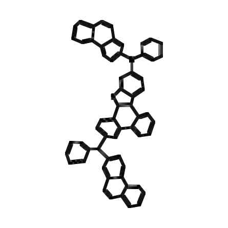 c1ccc(C(c2ccc3c(ccc4ccccc43)c2)c2ccc3c(c2)c2ccccc2c2c4ccc(N(c5ccccc5)c5ccc6c(ccc7ccccc76)c5)cc4sc32)cc1